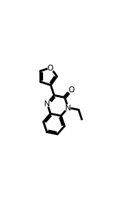 CCn1c(=O)c(-c2ccoc2)nc2ccccc21